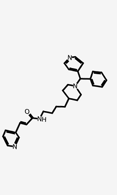 O=C(C=Cc1cccnc1)NCCCCC1CCN(C(c2ccccc2)c2ccncc2)CC1